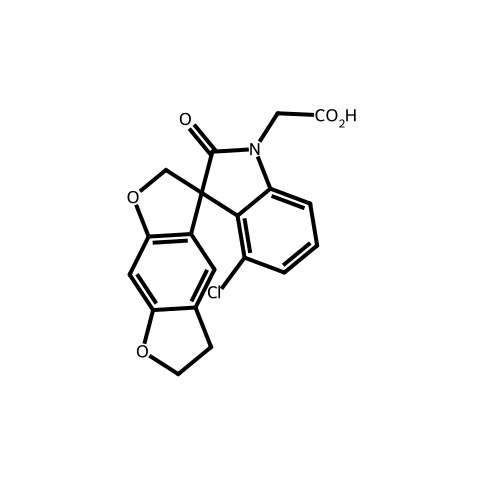 O=C(O)CN1C(=O)C2(COc3cc4c(cc32)CCO4)c2c(Cl)cccc21